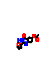 CC(=O)Oc1ccc2nc(-c3ccco3)[nH]c(=O)c2c1